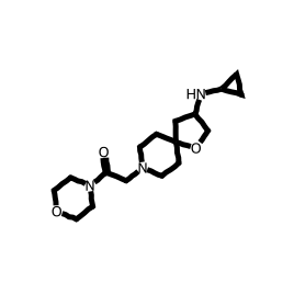 O=C(CN1CCC2(CC1)CC(NC1CC1)CO2)N1CCOCC1